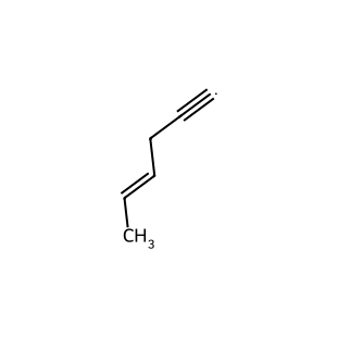 [C]#CCC=CC